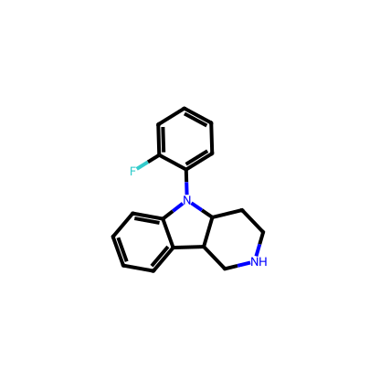 Fc1ccccc1N1c2ccccc2C2CNCCC21